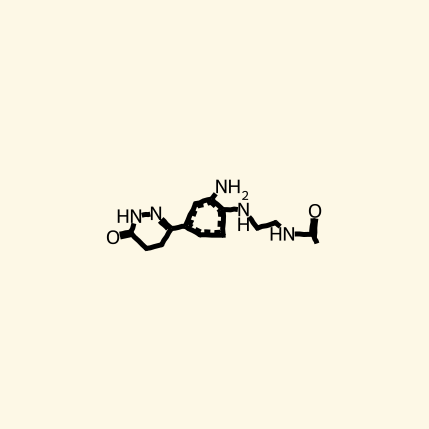 CC(=O)NCCNc1ccc(C2=NNC(=O)CC2)cc1N